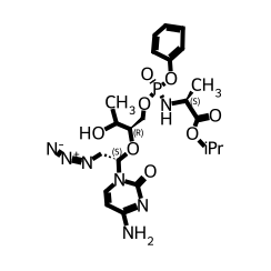 CC(C)OC(=O)[C@H](C)NP(=O)(OC[C@@H](O[C@@H](CN=[N+]=[N-])n1ccc(N)nc1=O)C(C)O)Oc1ccccc1